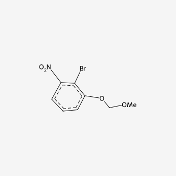 COCOc1cccc([N+](=O)[O-])c1Br